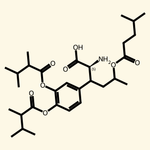 CC(C)CCC(=O)OC(C)CC(c1ccc(OC(=O)C(C)C(C)C)c(OC(=O)C(C)C(C)C)c1)[C@H](N)C(=O)O